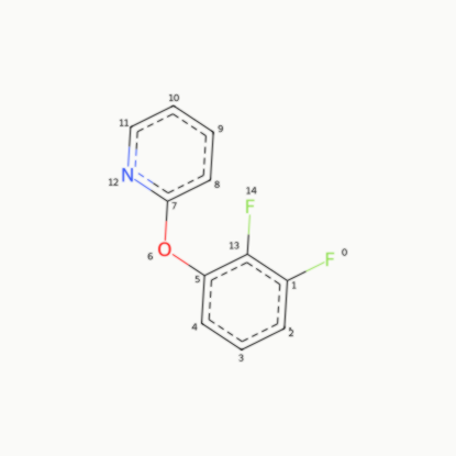 Fc1[c]ccc(Oc2ccccn2)c1F